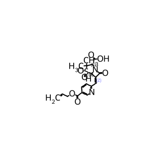 C=CCOC(=O)c1ccc(/C=C2/C(=O)N3[C@@H](C(=O)O)C(C)(C)S(=O)(=O)[C@H]23)nc1